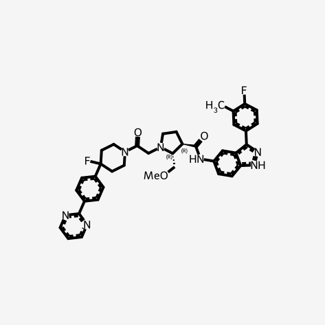 COC[C@H]1[C@H](C(=O)Nc2ccc3[nH]nc(-c4ccc(F)c(C)c4)c3c2)CCN1CC(=O)N1CCC(F)(c2ccc(-c3ncccn3)cc2)CC1